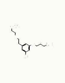 CCc1cc(CCOCCOC)cc(OC[C@H](F)CN)c1